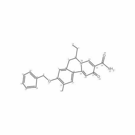 CCC1Cc2cc(OCc3ccccc3)c(C)cc2-c2cc(=O)c(C(N)=O)cn21